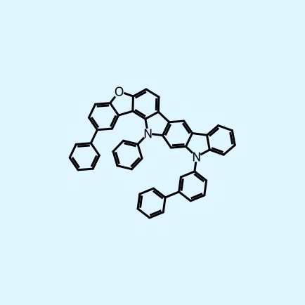 c1ccc(-c2cccc(-n3c4ccccc4c4cc5c6ccc7oc8ccc(-c9ccccc9)cc8c7c6n(-c6ccccc6)c5cc43)c2)cc1